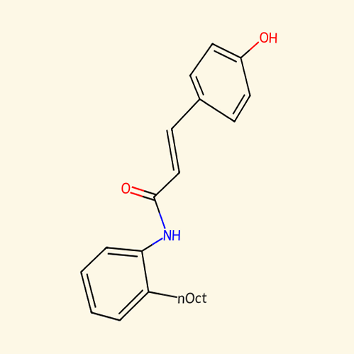 CCCCCCCCc1ccccc1NC(=O)/C=C/c1ccc(O)cc1